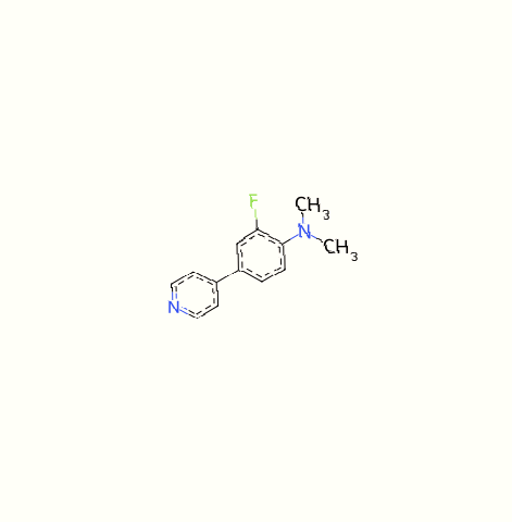 CN(C)c1ccc(-c2ccncc2)cc1F